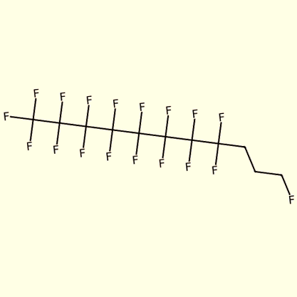 FCCCC(F)(F)C(F)(F)C(F)(F)C(F)(F)C(F)(F)C(F)(F)C(F)(F)C(F)(F)F